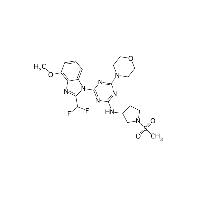 COc1cccc2c1nc(C(F)F)n2-c1nc(NC2CCN(S(C)(=O)=O)C2)nc(N2CCOCC2)n1